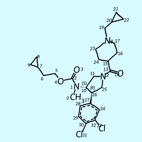 CN(C(=O)OCCC1CC1)[C@@H]1CN(C(=O)C2CCN(CC3CC3)CC2)C[C@H]1c1ccc(Cl)c(Cl)c1